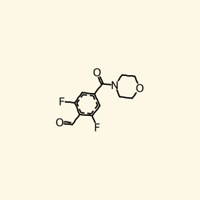 O=Cc1c(F)cc(C(=O)N2CCOCC2)cc1F